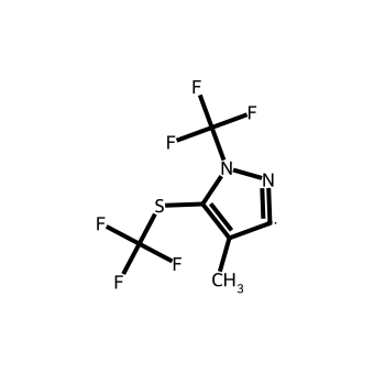 Cc1[c]nn(C(F)(F)F)c1SC(F)(F)F